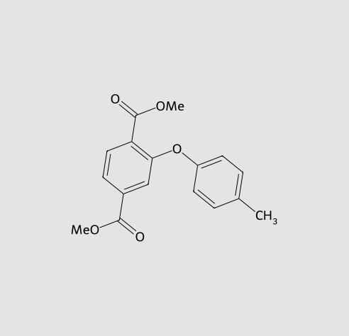 COC(=O)c1ccc(C(=O)OC)c(Oc2ccc(C)cc2)c1